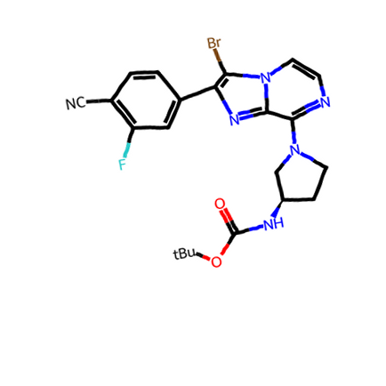 CC(C)(C)OC(=O)N[C@@H]1CCN(c2nccn3c(Br)c(-c4ccc(C#N)c(F)c4)nc23)C1